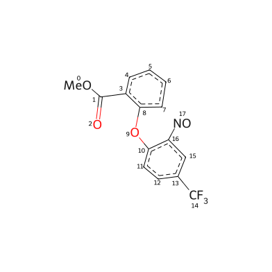 COC(=O)c1ccccc1Oc1ccc(C(F)(F)F)cc1N=O